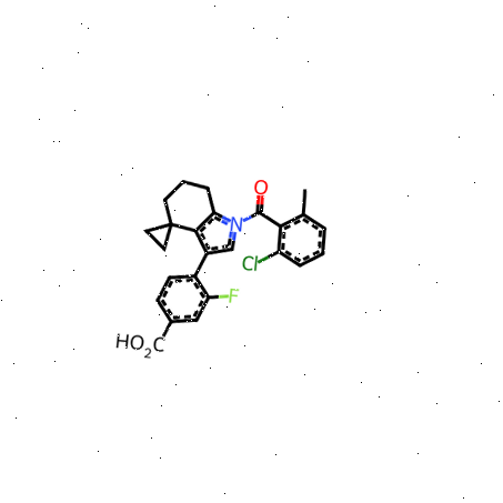 Cc1cccc(Cl)c1C(=O)n1cc(-c2ccc(C(=O)O)cc2F)c2c1CCCC21CC1